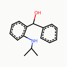 CC(C)Nc1ccccc1C(O)c1ccccc1